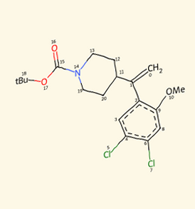 C=C(c1cc(Cl)c(Cl)cc1OC)C1CCN(C(=O)OC(C)(C)C)CC1